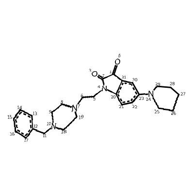 O=C1C(=O)N(CCN2CCN(Cc3ccccc3)CC2)c2ccc(N3CCCCC3)cc21